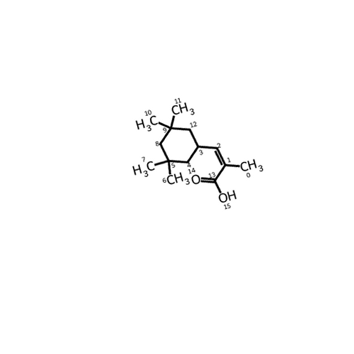 CC(=CC1CC(C)(C)CC(C)(C)C1)C(=O)O